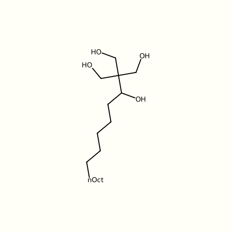 CCCCCCCCCCCCCC(O)C(CO)(CO)CO